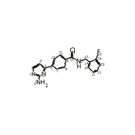 Nc1nccc(-c2ccc(C(=O)NCc3ccccc3F)cc2)n1